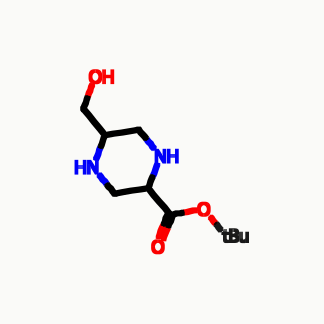 CC(C)(C)OC(=O)C1CNC(CO)CN1